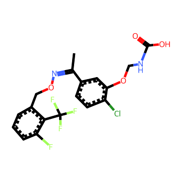 CC(=NOCc1cccc(F)c1C(F)(F)F)c1ccc(Cl)c(OCNC(=O)O)c1